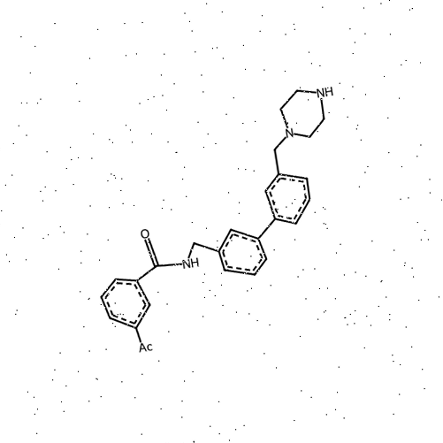 CC(=O)c1cccc(C(=O)NCc2cccc(-c3cccc(CN4CCNCC4)c3)c2)c1